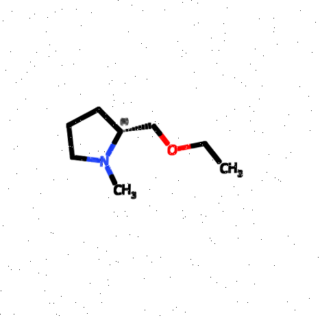 CCOC[C@H]1CCCN1C